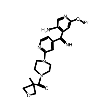 CC(C)Oc1cc(C(=N)c2ccnc(N3CCN(C(=O)C4(C)COC4)CC3)c2)c(N)cn1